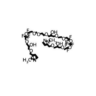 Cn1nccc1COCC(O)COCC(F)(F)OC(F)(F)COCOCCOCC(O)COCCOCC(F)(F)OC(F)(F)OC(F)(F)COCC(O)COCc1ccnn1C